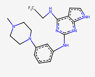 CN1CCN(c2cccc(Nc3nc(NCC(F)(F)F)c4cc[nH]c4n3)c2)CC1